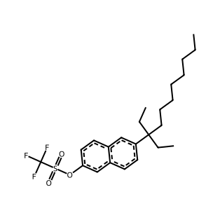 CCCCCCCCC(CC)(CC)c1ccc2cc(OS(=O)(=O)C(F)(F)F)ccc2c1